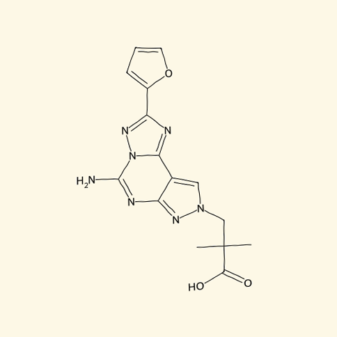 CC(C)(Cn1cc2c(nc(N)n3nc(-c4ccco4)nc23)n1)C(=O)O